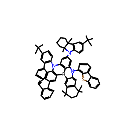 CC(C)(C)c1ccc(N2c3cc4c#cc5ccccc5c4cc3B3c4cc5c(cc4N(c4cccc6c4sc4ccccc46)c4cc(N6c7ccc(C(C)(C)C)cc7C7(C)CCCCC67C)cc2c43)C(C)(C)CCC5(C)C)c(-c2ccccc2)c1